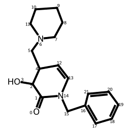 O=C1C(O)C(CN2CCCCC2)C=CN1Cc1ccccc1